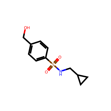 O=S(=O)(NCC1CC1)c1ccc(CO)cc1